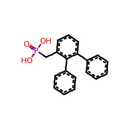 O=P(O)(O)Cc1cccc(-c2ccccc2)c1-c1ccccc1